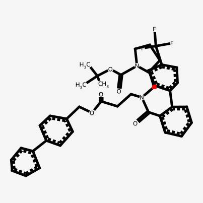 CC(C)(C)OC(=O)N1CCC[C@H]1CN(CCC(=O)OCc1ccc(-c2ccccc2)cc1)C(=O)c1ccccc1-c1ccc(C(F)(F)F)cc1